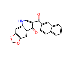 O=C(c1ccc2ccccc2c1)c1c[nH]c2cc3c(cc2c1=O)OCO3